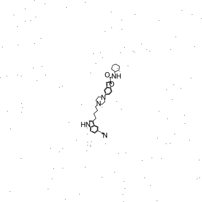 N#Cc1ccc2[nH]cc(CCCCN3CCN(c4ccc5oc(C(=O)NC6CCCCC6)cc5c4)CC3)c2c1